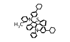 Cc1cccc(N(c2ccc(C3CCCCC3)cc2)c2c3ccccc3c(N(c3ccccc3)c3ccc(C4CCCCC4)cc3)c3c2sc2ccccc23)c1